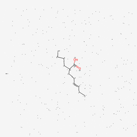 CCC=CCCC(CCCC)C(=O)O